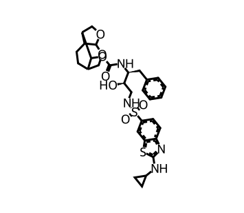 O=C(N[C@@H](Cc1ccccc1)[C@H](O)CNS(=O)(=O)c1ccc2nc(NC3CC3)sc2c1)OC1C2CCC3C(OC2)OCC31